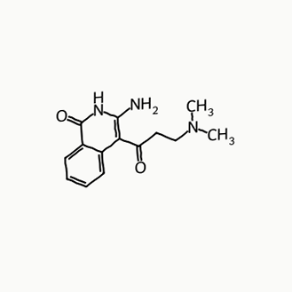 CN(C)CCC(=O)c1c(N)[nH]c(=O)c2ccccc12